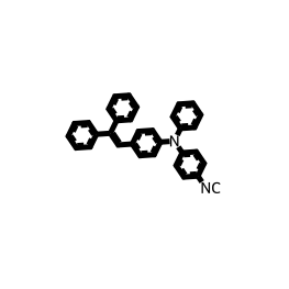 [C-]#[N+]c1ccc(N(c2ccccc2)c2ccc(C=C(c3ccccc3)c3ccccc3)cc2)cc1